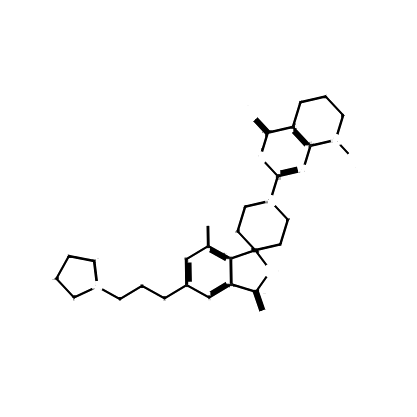 CN1CCCc2c1nc(N1CCC3(CC1)OC(=O)c1cc(CCCN4CCCC4)cc(F)c13)[nH]c2=O